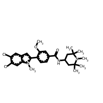 COc1cc(C(=O)NC2CC(C)(C)N(C)C(C)(C)C2)ccc1-c1cc2cc(Cl)c(Cl)cc2n1C